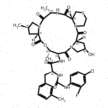 Cc1cccc(C[C@H](NC(=O)Nc2ccc(Cl)cc2F)C(=O)N[C@@H]2C(=O)N3C[C@H](O)C[C@H]3C(=O)N3CCSC[C@H]3C(=O)N[C@@H](C)C(=O)N3C[C@H](C)C[C@H]3C(=O)O[C@H]2C)c1